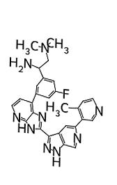 Cc1ccncc1-c1cc2c(-c3nc4c(-c5cc(F)cc(C(N)CN(C)C)c5)ccnc4[nH]3)n[nH]c2cn1